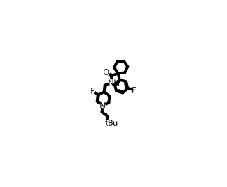 CC(C)(C)CCN1CCC(CNC(=O)C2(c3cccc(F)c3)CCCCC2)C(F)C1